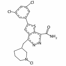 NC(=O)c1nnc(CC2CCCN(Cl)C2)c2cc(-c3cc(Cl)cc(Cl)c3)sc12